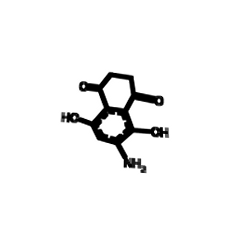 Nc1cc(O)c2c(c1O)C(=O)CCC2=O